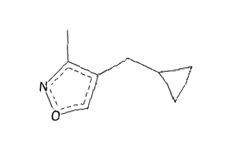 Cc1nocc1CC1CC1